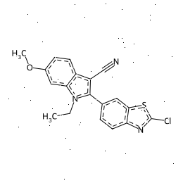 CCn1c(-c2ccc3nc(Cl)sc3c2)c(C#N)c2ccc(OC)cc21